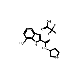 Cc1cccc2cc(C(=O)N[C@H]3CCNC3)[nH]c12.O=C(O)C(F)(F)F